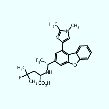 Cc1nc(-c2cc([C@H](N[C@@H](CC(C)(C)F)C(=O)O)C(F)(F)F)cc3oc4ccccc4c23)cn1C